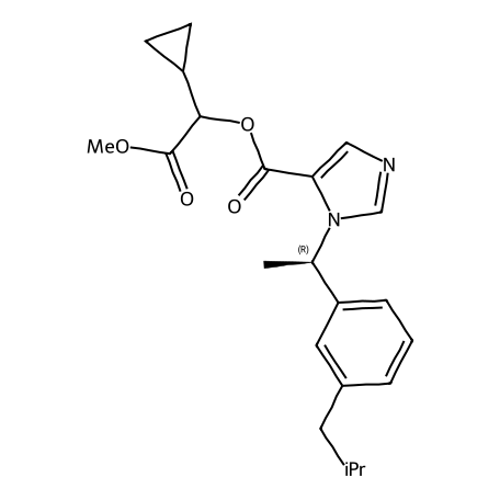 COC(=O)C(OC(=O)c1cncn1[C@H](C)c1cccc(CC(C)C)c1)C1CC1